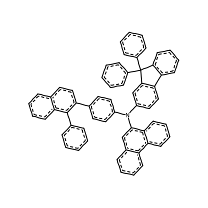 c1ccc(-c2c(-c3ccc(N(c4ccc5c(c4)C(c4ccccc4)(c4ccccc4)c4ccccc4-5)c4cc5ccccc5c5ccccc45)cc3)ccc3ccccc23)cc1